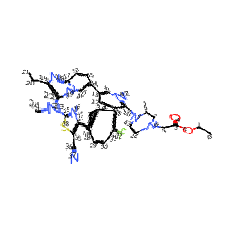 CCOC(=O)CN1CCN(c2ccc(-c3ccc4nc(CC)c(N(C)c5nc(-c6ccc(F)cc6)c(C#N)s5)n4c3)cn2)CC1